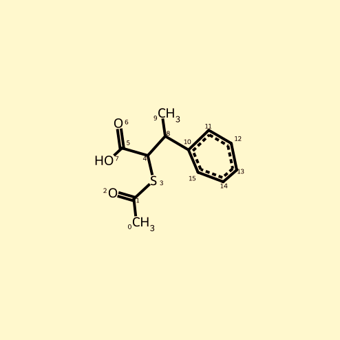 CC(=O)SC(C(=O)O)C(C)c1ccccc1